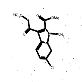 COC(=O)C1=C(C(=O)CC(=O)O)C2=CC=C(Cl)CC2N1C